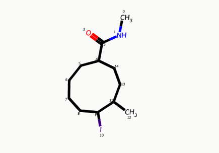 CNC(=O)C1CCCCC(I)C(C)CC1